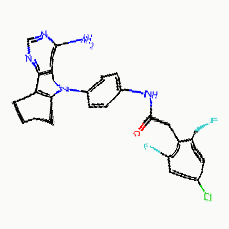 Nc1ncnc2c3c(n(-c4ccc(NC(=O)Cc5c(F)cc(Cl)cc5F)cc4)c12)CCC3